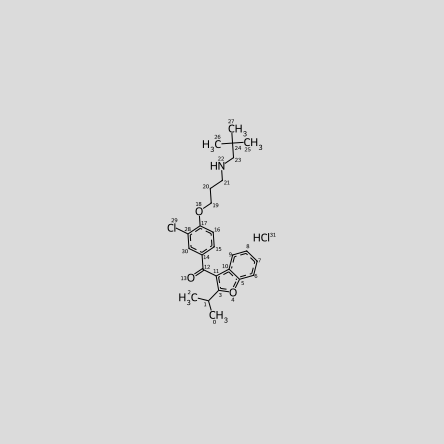 CC(C)c1oc2ccccc2c1C(=O)c1ccc(OCCCNCC(C)(C)C)c(Cl)c1.Cl